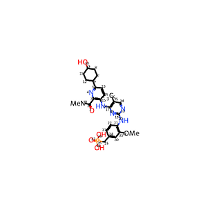 CNC(=O)c1nc(C2CCC(O)CC2)ccc1Nc1nc(Nc2ccc(CP(=O)(O)O)cc2OC)ncc1C(F)(F)F